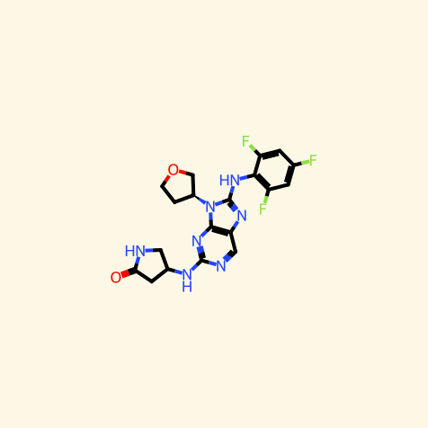 O=C1CC(Nc2ncc3nc(Nc4c(F)cc(F)cc4F)n([C@H]4CCOC4)c3n2)CN1